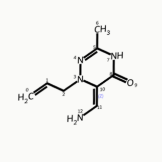 C=CCN1N=C(C)NC(=O)/C1=C/N